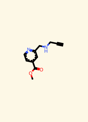 C#CCNCc1cc(C(=O)OC)ccn1